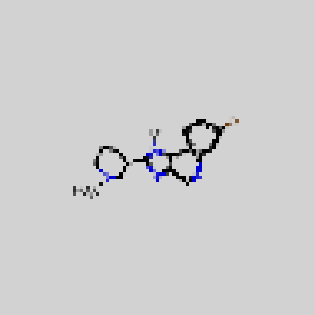 CCn1c(C2CCCN(C(=O)O)C2)nc2cnc3cc(Br)ccc3c21